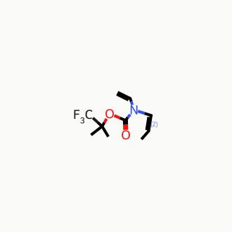 C=CN(/C=C\C)C(=O)OC(C)(C)C(F)(F)F